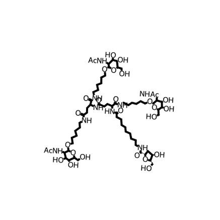 CC(=O)NC1C(OCCCCCCNC(=O)CCC(NC(=O)CCC(NC(=O)CCCCCCCCCNC(=O)[C@@H]2C[C@@H](O)[C@H](CO)O2)C(=O)NCCCCCCOC2OC(CO)C(O)C(O)C2NC(C)=O)C(=O)NCCCCCCOC2OC(CO)C(O)C(O)C2NC(C)=O)OC(CO)C(O)C1O